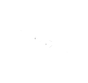 CCCCC[C@H]1CC[C@H](c2ccc(C34CCC([C@H]5CC[C@H](CCCCC)CC5)(CC3)CC4)cc2)CC1